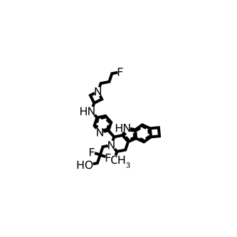 CC1Cc2c([nH]c3cc4c(cc23)CC4)C(c2ccc(NC3CN(CCCF)C3)cn2)N1CC(F)(F)CO